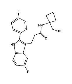 O=C(CCc1c(-c2ccc(F)cc2)[nH]c2ccc(F)cc12)NC1(CO)CCC1